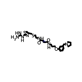 N=C(N)Nc1nc(CSCCNC(=O)/C=C/C(=O)NCCCOc2cccc(CN3CCCC3)c2)cs1